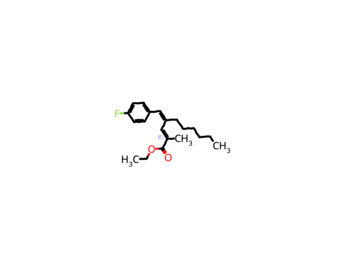 CCCCCCC(=Cc1ccc(F)cc1)/C=C(\C)C(=O)OCC